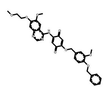 COCCOc1cc2ncnc(NC3=CC(=O)C(OCc4ccc(OCc5ccccc5)c(OC)c4)=CC3=O)c2cc1OC